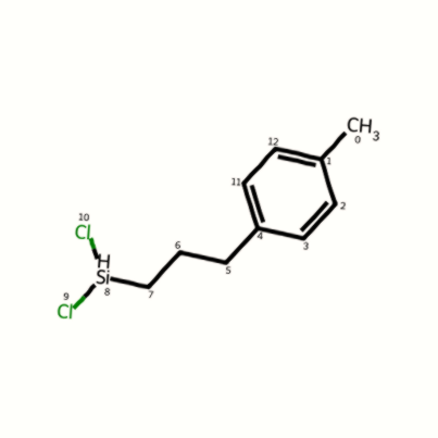 Cc1ccc(CCC[SiH](Cl)Cl)cc1